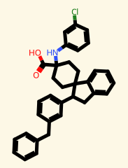 O=C(O)C1(Nc2cccc(Cl)c2)CCC2(CC1)c1ccccc1CC2c1cccc(Cc2ccccc2)c1